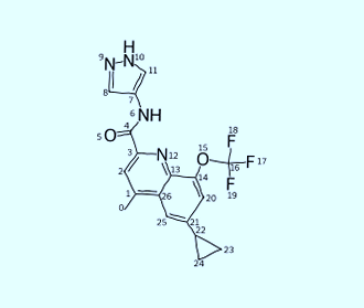 Cc1cc(C(=O)Nc2cn[nH]c2)nc2c(OC(F)(F)F)cc(C3CC3)cc12